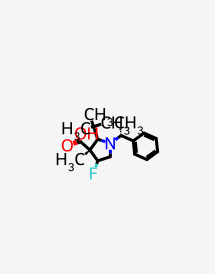 C[C@H](c1ccccc1)N1CC(F)[C@](C)(C(=O)O)C1C(C)(C)C